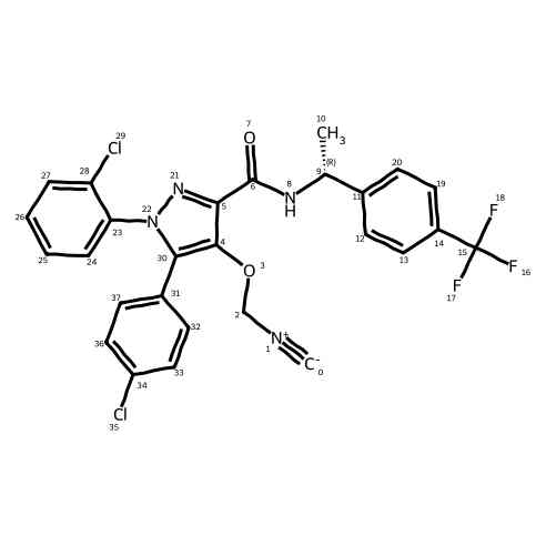 [C-]#[N+]COc1c(C(=O)N[C@H](C)c2ccc(C(F)(F)F)cc2)nn(-c2ccccc2Cl)c1-c1ccc(Cl)cc1